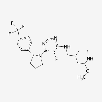 COC1CC(CNc2ncnc(N3CCCC3c3ccc(C(F)(F)F)cc3)c2F)CCN1